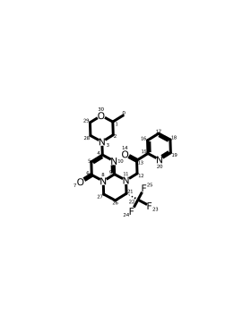 CC1CN(c2cc(=O)n3c(n2)N(CC(=O)c2ccccn2)[C@H](C(F)(F)F)CC3)CCO1